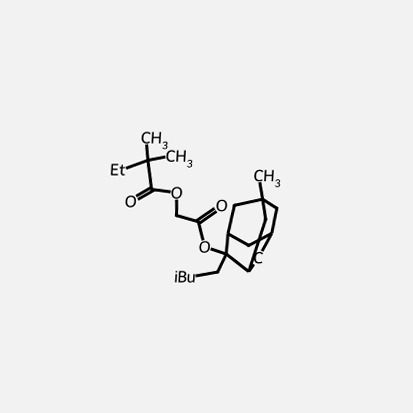 CCC(C)CC1(OC(=O)COC(=O)C(C)(C)CC)C2CC3CC1CC(C)(C3)C2